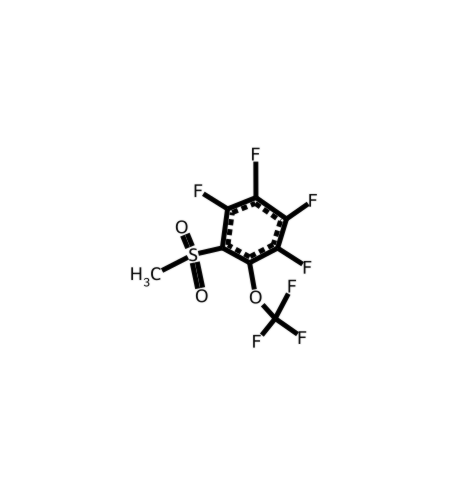 CS(=O)(=O)c1c(F)c(F)c(F)c(F)c1OC(F)(F)F